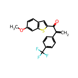 C=C(C(=O)c1cc2ccc(OC)cc2s1)c1ccc(C(F)(F)F)cc1